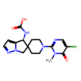 Cn1c(N2CCC3(CC2)Cn2nccc2[C@H]3NC(=O)O)ncc(Br)c1=O